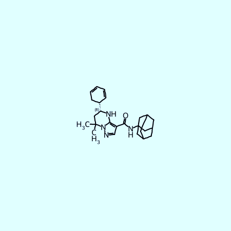 CC1(C)C[C@H](C2C=CC=CC2)Nc2c(C(=O)NC34CC5CC(CC(C5)C3)C4)cnn21